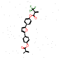 C=C(C)C(=O)Oc1ccc(-c2ccc(-c3ccc(OC(=O)C(=C)C(F)(F)F)cc3)o2)cc1